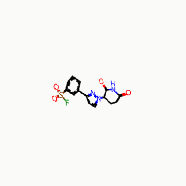 O=C1CCC(n2ccc(-c3cccc(S(=O)(=O)F)c3)n2)C(=O)N1